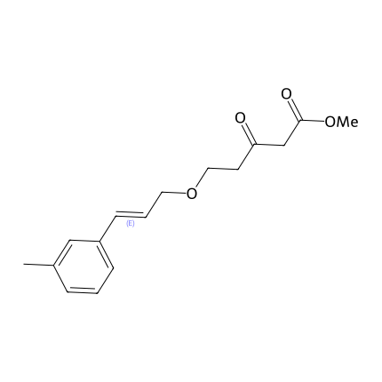 COC(=O)CC(=O)CCOC/C=C/c1cccc(C)c1